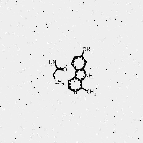 CCC(N)=O.Cc1nccc2c1[nH]c1cc(O)ccc12